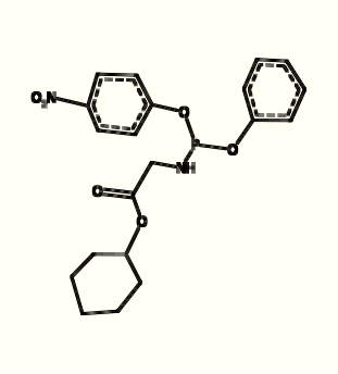 O=C(CNP(Oc1ccccc1)Oc1ccc([N+](=O)[O-])cc1)OC1CCCCC1